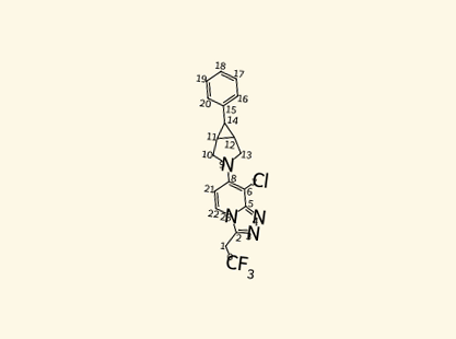 FC(F)(F)Cc1nnc2c(Cl)c(N3CC4C(C3)C4c3ccccc3)ccn12